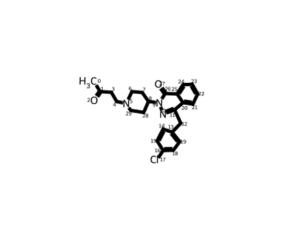 CC(=O)CCN1CCC(n2nc(Cc3ccc(Cl)cc3)c3ccccc3c2=O)CC1